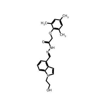 Cc1cc(C)c(OCC(=O)NN=Cc2cccc3c2ccn3CCO)c(C)c1